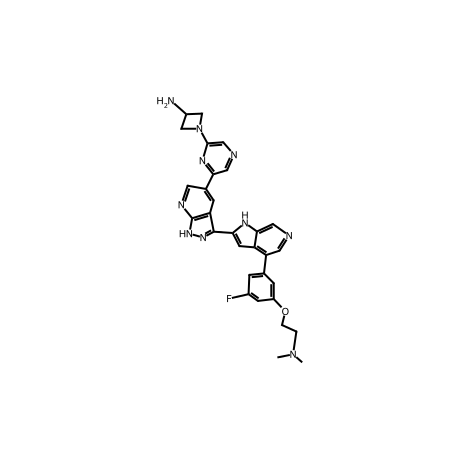 CN(C)CCOc1cc(F)cc(-c2cncc3[nH]c(-c4n[nH]c5ncc(-c6cncc(N7CC(N)C7)n6)cc45)cc23)c1